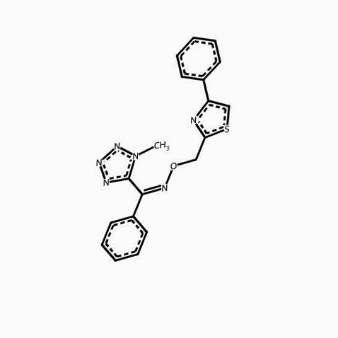 Cn1nnnc1/C(=N\OCc1nc(-c2ccccc2)cs1)c1ccccc1